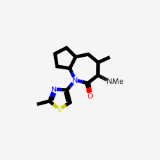 CNC1C(=O)N(c2csc(C)n2)C2CCCC2CC1C